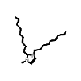 CCCCCCCCCC1N(C)C=CN1CCCCCCCCC